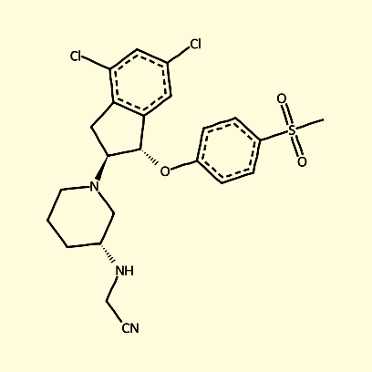 CS(=O)(=O)c1ccc(O[C@H]2c3cc(Cl)cc(Cl)c3C[C@@H]2N2CCC[C@@H](NCC#N)C2)cc1